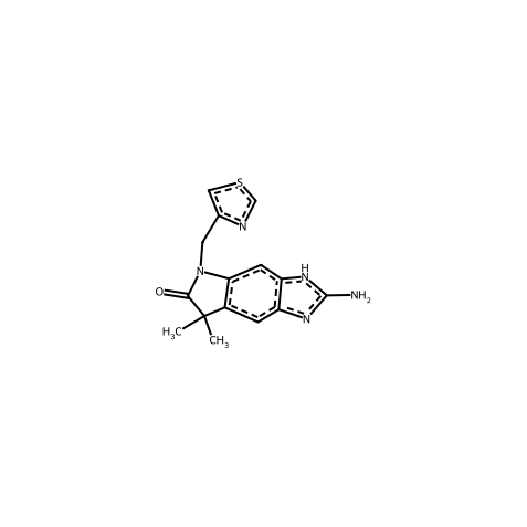 CC1(C)C(=O)N(Cc2cscn2)c2cc3[nH]c(N)nc3cc21